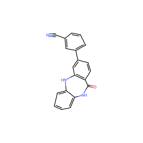 N#Cc1cccc(-c2ccc3c(c2)Nc2ccccc2NC3=O)c1